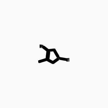 CCC1=C(C)CP(Cl)C1